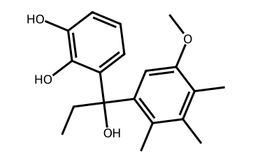 CCC(O)(c1cc(OC)c(C)c(C)c1C)c1cccc(O)c1O